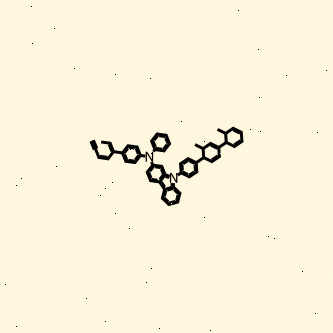 C#C/C=C\C(=C/C)c1ccc(N(c2ccccc2)c2ccc3c4ccccc4n(-c4ccc(C5C=CC(C6C=CC=CC6C)=CC5C)cc4)c3c2)cc1